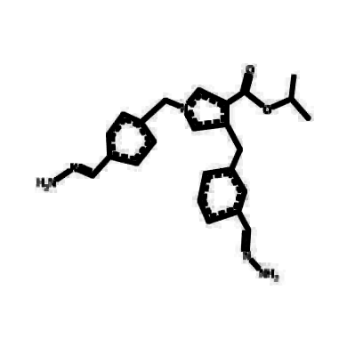 CC(C)OC(=O)c1cn(Cc2ccc(C=NN)cc2)cc1Cc1cccc(C=NN)c1